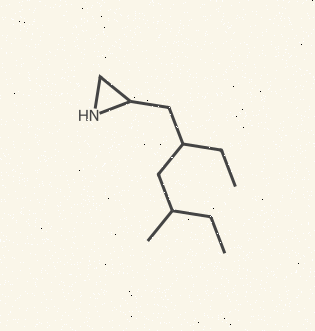 CCC(C)CC(CC)CC1CN1